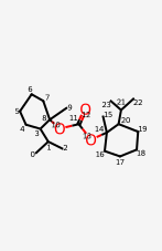 CC(C)C1CCCCC1(C)OC(=O)OC1(C)CCCCC1C(C)C